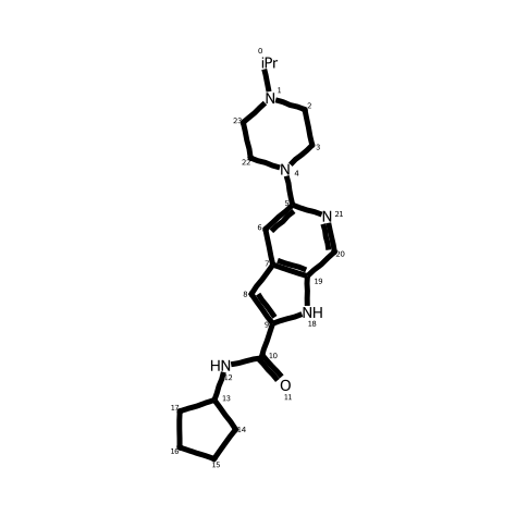 CC(C)N1CCN(c2cc3cc(C(=O)NC4CCCC4)[nH]c3cn2)CC1